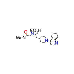 CNC(=O)CN(CCC1CCN(c2ccnc3ccccc23)CC1)C(=O)O